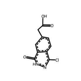 O=C(O)Cc1ccc2c(Cl)n[nH]c(=O)c2c1